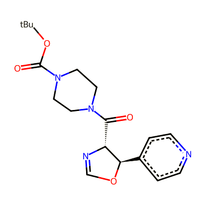 CC(C)(C)OC(=O)N1CCN(C(=O)[C@H]2N=CO[C@@H]2c2ccncc2)CC1